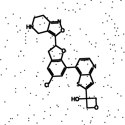 OC1(c2cc3nccc(-c4cc(Cl)cc5c4OC(c4onc6c4CNCC6)C5)c3s2)COC1